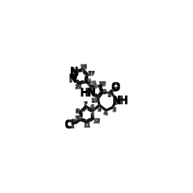 O=C1NCCC(c2ccc(Cl)cc2)c2[nH]c(-c3ccnnc3)cc21